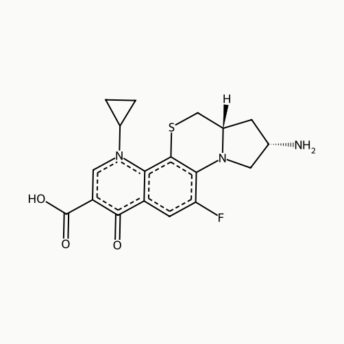 N[C@H]1C[C@H]2CSc3c(c(F)cc4c(=O)c(C(=O)O)cn(C5CC5)c34)N2C1